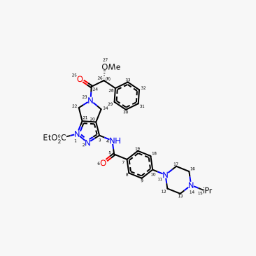 CCOC(=O)n1nc(NC(=O)c2ccc(N3CCN(C(C)C)CC3)cc2)c2c1CN(C(=O)[C@H](OC)c1ccccc1)C2